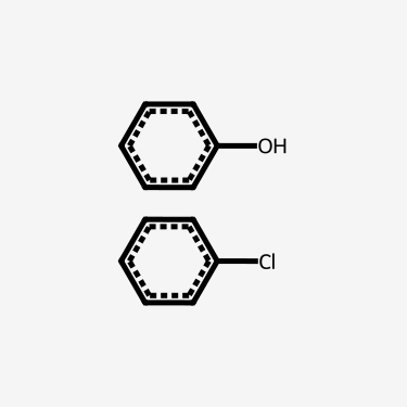 Clc1ccccc1.Oc1ccccc1